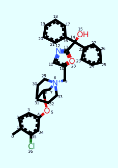 Cc1ccc(OC2C[N+]3(Cc4cnc(C(O)(c5ccccc5)c5ccccc5)o4)CCC2CC3)cc1Cl